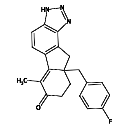 CC1=C2c3ccc4[nH]nnc4c3CC2(Cc2ccc(F)cc2)CCC1=O